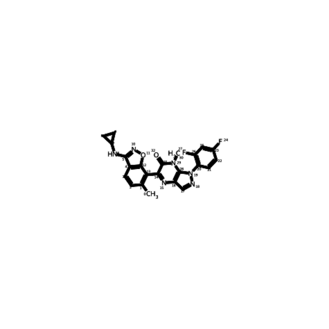 Cc1ccc2c(NC3CC3)noc2c1-c1nc2cnn(-c3ccc(F)cc3F)c2n(C)c1=O